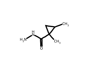 CC1CC1(C)C(=O)NN